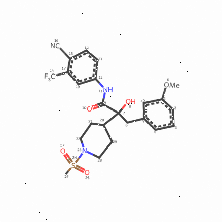 COc1cccc(CC(O)(C(=O)Nc2ccc(C#N)c(C(F)(F)F)c2)C2CCN(S(C)(=O)=O)CC2)c1